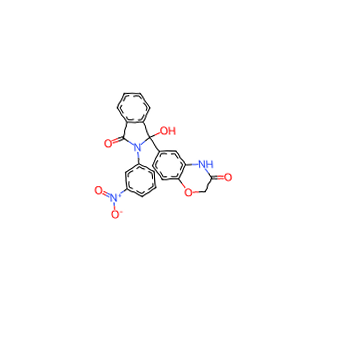 O=C1COc2ccc(C3(O)c4ccccc4C(=O)N3c3cccc([N+](=O)[O-])c3)cc2N1